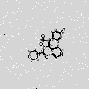 O=C(N1CCOCC1)n1oc(=O)c(-c2ccc(F)cc2)c1-c1ccncc1